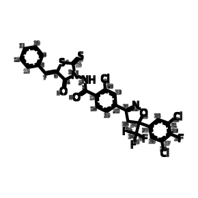 O=C(NN1C(=O)/C(=C/c2ccccc2)SC1=S)c1ccc(C2=NOC(c3cc(Cl)c(F)c(Cl)c3)(C(F)(F)F)C2)cc1Cl